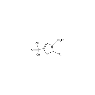 CCOC(=O)c1[c]c(P(=O)(O)O)oc1C(F)(F)F